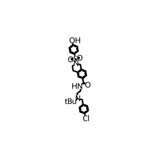 CC(C)(C)N(CCNC(=O)c1ccc2c(c1)CCN(S(=O)(=O)c1ccc(O)cc1)C2)Cc1ccc(Cl)cc1